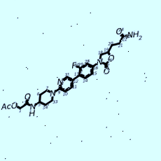 CC(=O)OCC(=O)NC1CCN(c2ccc(-c3ccc(N4CC(CCC(N)=O)OC4=O)cc3F)cn2)CC1